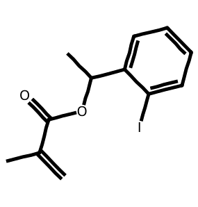 C=C(C)C(=O)OC(C)c1ccccc1I